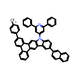 FC(F)(F)c1ccc(-c2ccc3c4ccccc4c4cc5c6cc(-c7ccc8ccccc8c7)ccc6n(-c6cc(-c7ccccc7)nc(-c7ccccc7)c6)c5cc4c3c2)cc1